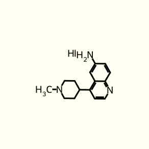 CN1CCC(c2ccnc3ccc(N)cc23)CC1.I